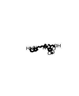 O=C(O)CC(Cn1cnc(C=CCc2ccc3c(n2)NCCC3)c1)c1ccc2c(c1)OCO2